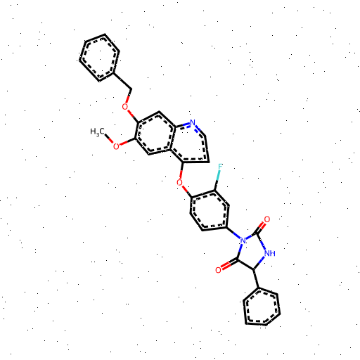 COc1cc2c(Oc3ccc(N4C(=O)NC(c5ccccc5)C4=O)cc3F)ccnc2cc1OCc1ccccc1